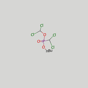 CCCCOP(=O)(OC(Cl)Cl)C(Cl)Cl